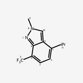 CC(C)c1ccc(C(F)(F)F)c2nn(C)cc12